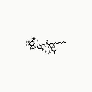 CCCCCCCCC(OC(=O)[C@@H](N)C(C)C)C(=O)OC[C@H]1O[C@@H](n2cnc3c(=O)[nH]c(N)nc32)C[C@@H]1F